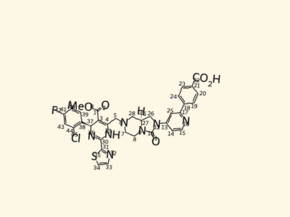 COC(=O)C1=C(CN2CCN3C(=O)N(c4ccnc(-c5ccc(C(=O)O)cc5)c4)C[C@@H]3C2)NC(c2nccs2)=N[C@H]1c1ccc(F)cc1Cl